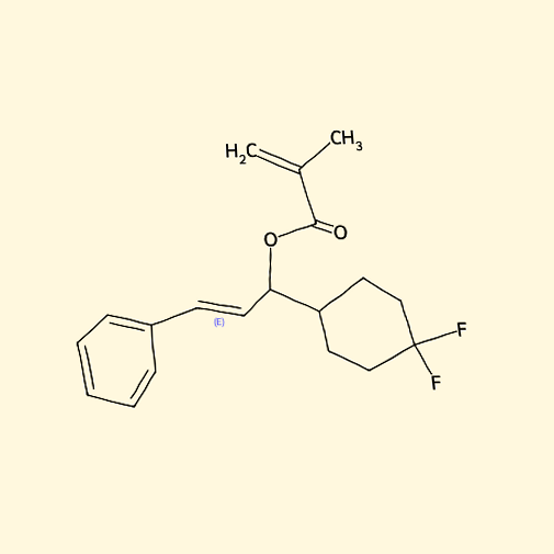 C=C(C)C(=O)OC(/C=C/c1ccccc1)C1CCC(F)(F)CC1